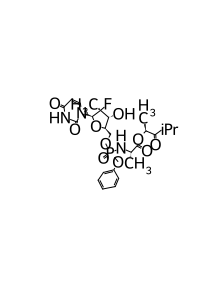 CC(C)C(=O)[C@H](C)OC(=O)[C@H](C)NP(=O)(OC[C@H]1O[C@@H](n2ccc(=O)[nH]c2=O)[C@](C)(F)[C@@H]1O)Oc1ccccc1